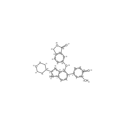 Cn1cc(-c2ccc3[nH]c(C4CCOCC4)nc3c2Oc2ccc3c(c2)C(=O)OC3)ccc1=O